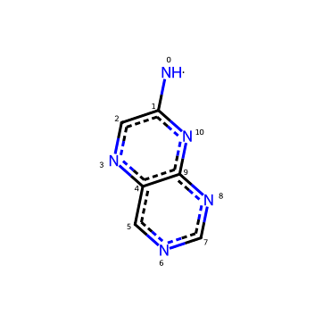 [NH]c1cnc2cncnc2n1